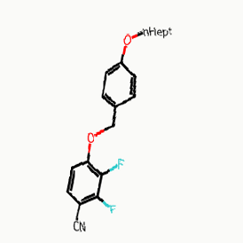 CCCCCCCOc1ccc(COc2ccc(C#N)c(F)c2F)cc1